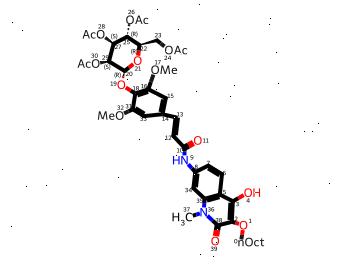 CCCCCCCCOc1c(O)c2ccc(NC(=O)C=Cc3cc(OC)c(O[C@H]4O[C@H](COC(C)=O)[C@@H](OC(C)=O)[C@H](OC(C)=O)[C@@H]4OC(C)=O)c(OC)c3)cc2n(C)c1=O